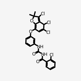 CC1(C)OC2=C(Oc3cccc(NC(=O)NC(=O)c4ccccc4Cl)c3)C=C(Cl)C(Cl)C2=C1Cl